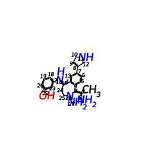 C/C(N)=C1\c2ccc(C3=CCNC3)cc2C(Nc2cccc(O)c2)CCN1N